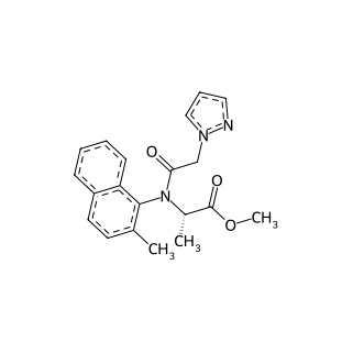 COC(=O)[C@H](C)N(C(=O)Cn1cccn1)c1c(C)ccc2ccccc12